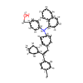 Cc1ccc(C(=Cc2ccc(N(c3ccc(CO)cc3)c3cccc4ccccc34)cc2)c2ccc(C)cc2)cc1